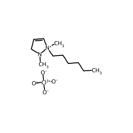 CCCCCC[N+]1(C)C=CCN1C.[O-][Cl+3]([O-])([O-])[O-]